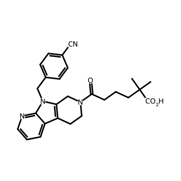 CC(C)(CCCC(=O)N1CCc2c(n(Cc3ccc(C#N)cc3)c3ncccc23)C1)C(=O)O